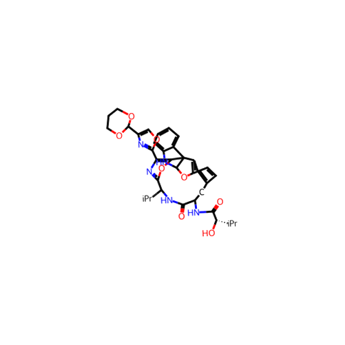 CC(C)C1NC(=O)C(NC(=O)[C@@H](O)C(C)C)Cc2ccc3c(c2)C2(c4ccccc4NC2O3)c2oc1nc2-c1nc(C2OCCCO2)co1